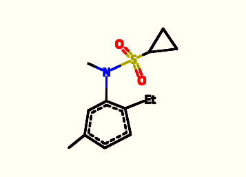 CCc1ccc(C)cc1N(C)S(=O)(=O)C1CC1